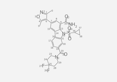 Cc1noc(C)c1-c1cc(C(N)=O)c2c(c1)c1ccc(C(=O)N3CCC(F)(F)CC3)cc1n2S(=O)(=O)C1CC1